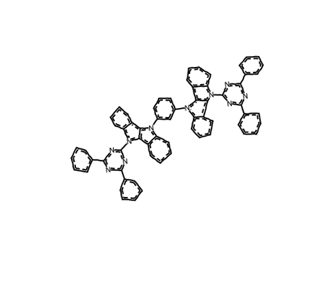 c1ccc(-c2nc(-c3ccccc3)nc(-n3c4ccccc4c4c3c3ccccc3n4-c3cccc(-n4c5ccccc5c5c4c4ccccc4n5-c4nc(-c5ccccc5)nc(-c5ccccc5)n4)c3)n2)cc1